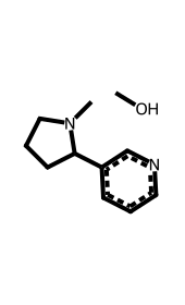 CN1CCCC1c1cccnc1.CO